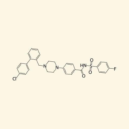 O=C(NS(=O)(=O)c1ccc(F)cc1)c1ccc(N2CCN(Cc3ccccc3-c3ccc(Cl)cc3)CC2)cc1